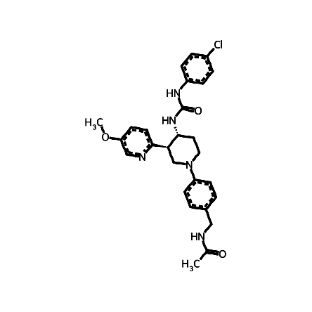 COc1ccc([C@@H]2CN(c3ccc(CNC(C)=O)cc3)CC[C@H]2NC(=O)Nc2ccc(Cl)cc2)nc1